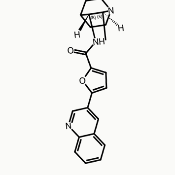 C[C@H]1[C@H](NC(=O)c2ccc(-c3cnc4ccccc4c3)o2)C2CCN1CC2